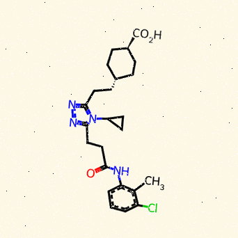 Cc1c(Cl)cccc1NC(=O)CCc1nnc(CC[C@H]2CC[C@H](C(=O)O)CC2)n1C1CC1